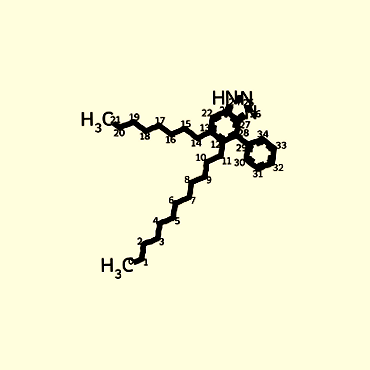 CCCCCCCCCCCCc1c(CCCCCCCC)cc2[nH]nnc2c1-c1ccccc1